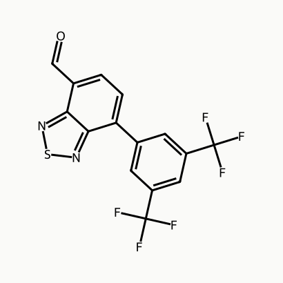 O=Cc1ccc(-c2cc(C(F)(F)F)cc(C(F)(F)F)c2)c2nsnc12